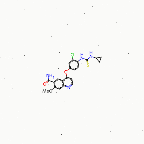 COc1cc2nccc(Oc3ccc(NC(=S)NC4CC4)c(Cl)c3)c2cc1C(N)=O